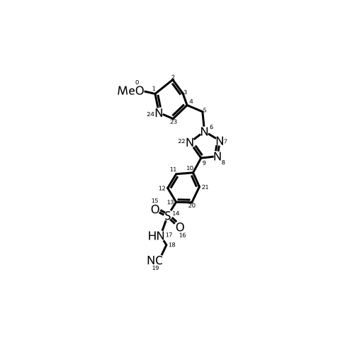 COc1ccc(Cn2nnc(-c3ccc(S(=O)(=O)NCC#N)cc3)n2)cn1